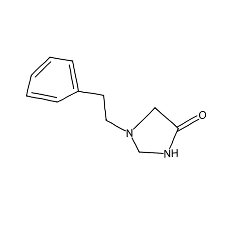 O=C1CN(CCc2ccccc2)CN1